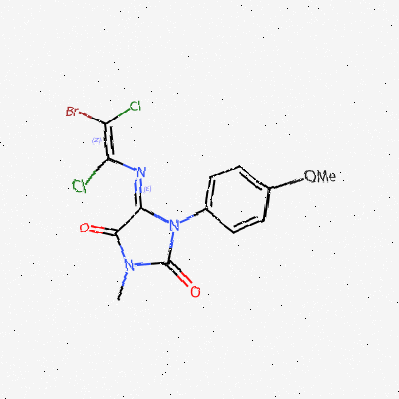 COc1ccc(N2C(=O)N(C)C(=O)/C2=N\C(Cl)=C(/Cl)Br)cc1